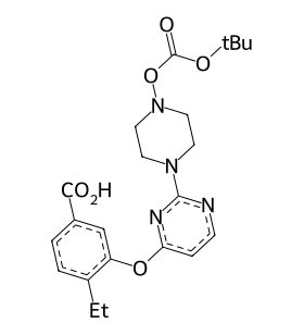 CCc1ccc(C(=O)O)cc1Oc1ccnc(N2CCN(OC(=O)OC(C)(C)C)CC2)n1